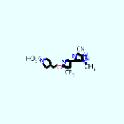 Cn1nnc2c(C#N)nc(-c3cnc(OCCC4CCN(C(=O)O)CC4)c(C(F)(F)F)c3)cc21